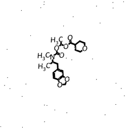 CC(OC(=O)C1CCOCC1)OC(=O)N(C)C(C)Cc1ccc2c(c1)OCO2